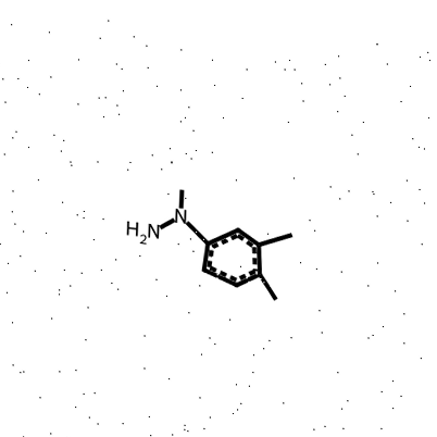 Cc1ccc(N(C)N)cc1C